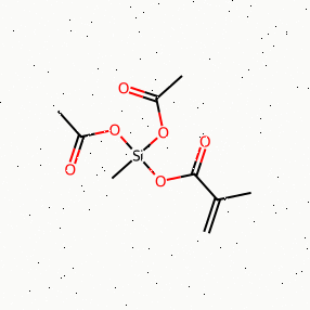 C=C(C)C(=O)O[Si](C)(OC(C)=O)OC(C)=O